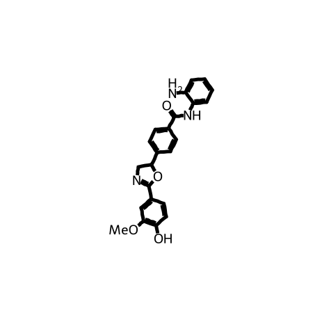 COc1cc(C2=NCC(c3ccc(C(=O)Nc4ccccc4N)cc3)O2)ccc1O